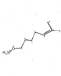 CC(C)=CCCCCO[SiH3]